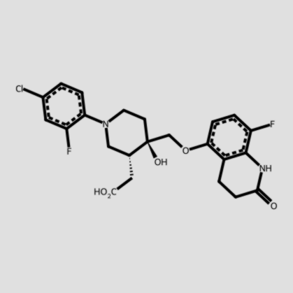 O=C(O)C[C@@H]1CN(c2ccc(Cl)cc2F)CC[C@]1(O)COc1ccc(F)c2c1CCC(=O)N2